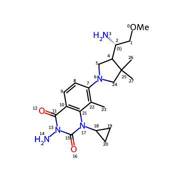 COC[C@@H](N)C1CN(c2ccc3c(=O)n(N)c(=O)n(C4CC4)c3c2C)CC1(C)C